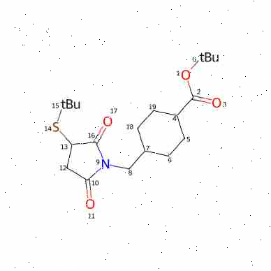 CC(C)(C)OC(=O)C1CCC(CN2C(=O)CC(SC(C)(C)C)C2=O)CC1